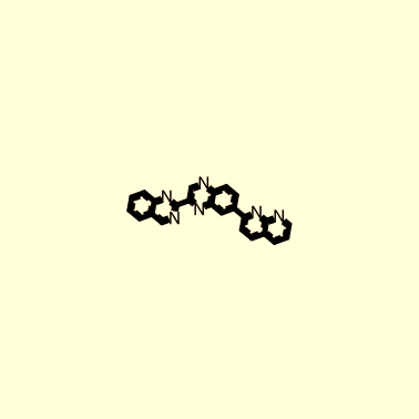 c1ccc2nc(-c3cnc4ccc(-c5ccc6cccnc6n5)cc4n3)ncc2c1